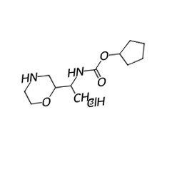 CC(NC(=O)OC1CCCC1)C1CNCCO1.Cl